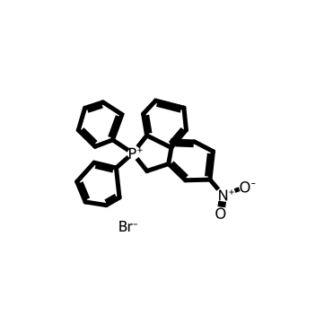 O=[N+]([O-])c1cccc(C[P+](c2ccccc2)(c2ccccc2)c2ccccc2)c1.[Br-]